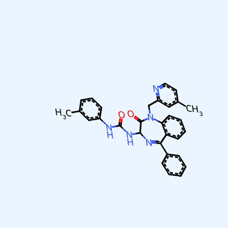 Cc1cccc(NC(=O)NC2N=C(c3ccccc3)c3ccccc3N(Cc3cc(C)ccn3)C2=O)c1